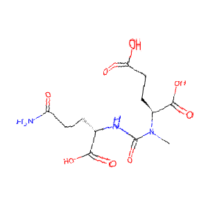 CN(C(=O)N[C@@H](CCC(N)=O)C(=O)O)[C@@H](CCC(=O)O)C(=O)O